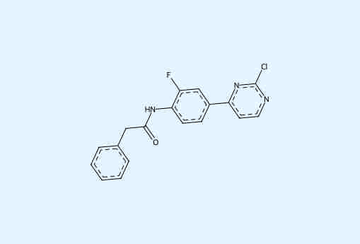 O=C(Cc1ccccc1)Nc1ccc(-c2ccnc(Cl)n2)cc1F